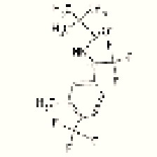 Cc1cc([C@@H](N[S+]([O-])C(C)(C)C)C(F)(F)F)ccc1C(F)(F)F